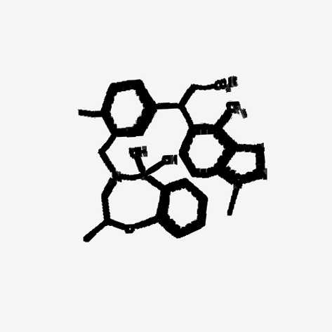 CCOC(=O)CC(c1ccc(C)c(CN2CC(C)Oc3ccccc3S2(O)O)c1)c1ccc2c(nnn2C)c1C(F)(F)F